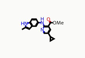 COC(=O)c1cc(C2CC2)cnc1Nc1ccc2[nH]c(C)cc2c1